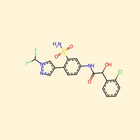 NS(=O)(=O)c1cc(NC(=O)C(O)c2ccccc2Cl)ccc1-c1cnn(C(F)F)c1